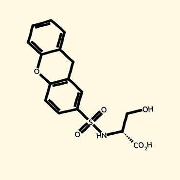 O=C(O)[C@@H](CO)NS(=O)(=O)c1ccc2c(c1)Cc1ccccc1O2